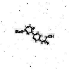 COc1ccnc(-c2ccc(/C=C(/F)CO)cc2)n1